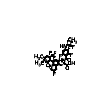 CC[C@@H](Nc1cc(F)c(C(=O)N[C@@H](Cc2ccc(-c3c(C(F)(F)F)cc(C)n(C)c3=O)c3ncc(F)cc23)C(=O)O)c(F)c1)C(F)(F)F